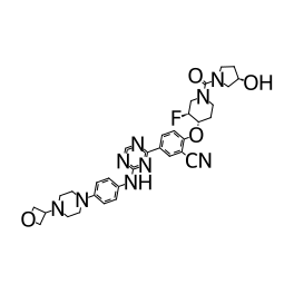 N#Cc1cc(-c2ncnc(Nc3ccc(N4CCN(C5COC5)CC4)cc3)n2)ccc1O[C@H]1CCN(C(=O)N2CC[C@@H](O)C2)C[C@@H]1F